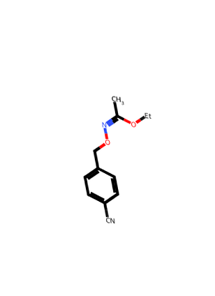 CCOC(C)=NOCc1ccc(C#N)cc1